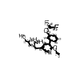 CCOc1ncc(CN(N)/C=C(\N)CO)cc1-c1cccc(OC(F)F)c1